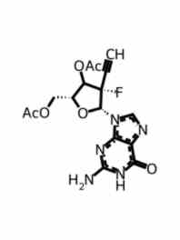 C#C[C@]1(F)C(OC(C)=O)[C@@H](COC(C)=O)O[C@H]1n1cnc2c(=O)[nH]c(N)nc21